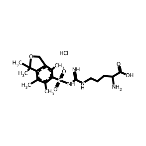 Cc1c(C)c(S(=O)(=O)NC(=N)NCCCC(N)C(=O)O)c(C)c2c1C(C)(C)OC2.Cl